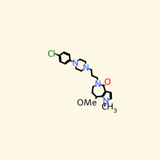 COC1CCN(CCCN2CCN(c3ccc(Cl)cc3)CC2)C(=O)c2ccn(C)c21